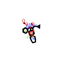 CN/C(=N\OC=O)c1ccc(N2C3CCC2CC(OCc2c(-c4ccccc4OC(F)F)noc2C2CC2)C3)cc1F